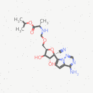 CC(C)OC(=O)[C@H](C)NCOC[C@H]1O[C@@](C#N)(c2ccc3c(N)ncnn23)[C@H](O)C1O